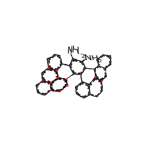 Nc1c(N)c(-c2cccc3ccccc23)c(-c2cccc3ccccc23)c(-c2cccc3ccccc23)c1-c1ccccc1-c1cccc2ccccc12